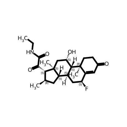 CCNC(=O)C(=O)[C@H]1[C@H](C)C[C@H]2[C@@H]3C[C@H](F)C4=CC(=O)CC[C@]4(C)[C@H]3[C@@H](O)C[C@@]21C